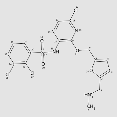 CNCc1ccc(COc2nc(Cl)cnc2NS(=O)(=O)c2cccc(Cl)c2Cl)o1